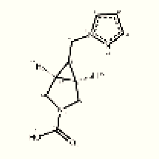 O=C(O)N1C[C@@H]2C(Cn3cccn3)[C@@H]2C1